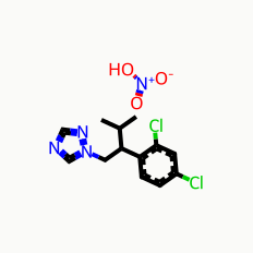 CC(C)C(Cn1cncn1)c1ccc(Cl)cc1Cl.O=[N+]([O-])O